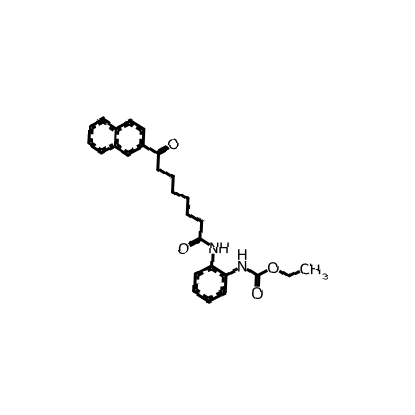 CCOC(=O)Nc1ccccc1NC(=O)CCCCCCC(=O)c1ccc2ccccc2c1